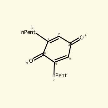 CCCCCC1=CC(=O)C=C(CCCCC)C1=O